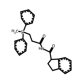 C[Si](CCC(=O)NC(=O)C1CCc2ccccc21)(c1ccccc1)c1ccccc1